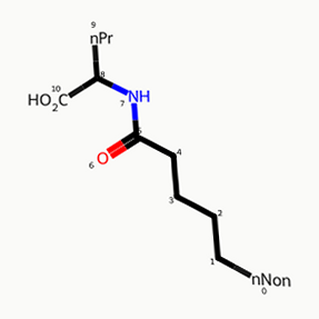 CCCCCCCCCCCCCC(=O)NC(CCC)C(=O)O